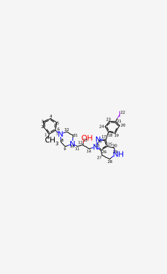 Cc1ccccc1N1CCN(CC(O)Cn2nc(-c3ccc(I)cc3)c3c2CCNC3)CC1